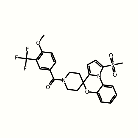 COc1ccc(C(=O)N2CCC3(CC2)Oc2ccccc2-n2c3ccc2S(C)(=O)=O)cc1C(F)(F)F